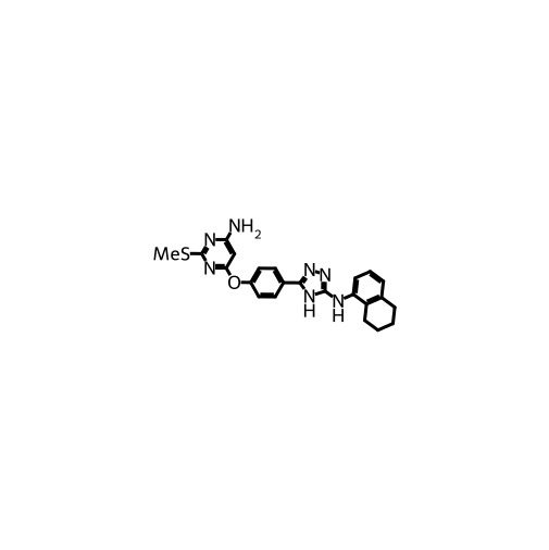 CSc1nc(N)cc(Oc2ccc(-c3nnc(Nc4cccc5c4CCCC5)[nH]3)cc2)n1